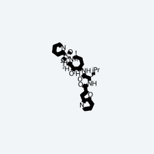 [2H]C1([2H])C(=O)[C@@]([2H])(NC(=O)[C@H](CC(C)C)NC(=O)c2cc3ncccc3o2)CC[C@@H](C)N1S(=O)(=O)c1ccccn1